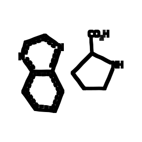 O=C(O)C1CCCN1.c1ccc2nccnc2c1